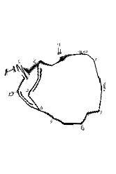 c1[nH]c2cc1CCCCCCC2